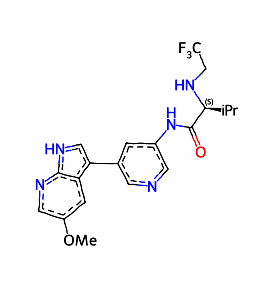 COc1cnc2[nH]cc(-c3cncc(NC(=O)[C@@H](NCC(F)(F)F)C(C)C)c3)c2c1